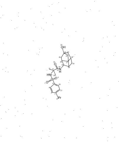 CC(C)c1ccc(S(=O)(=O)NC(C)(C)C(=O)NC2C3CC4CC2CC(O)(C4)C3)cc1